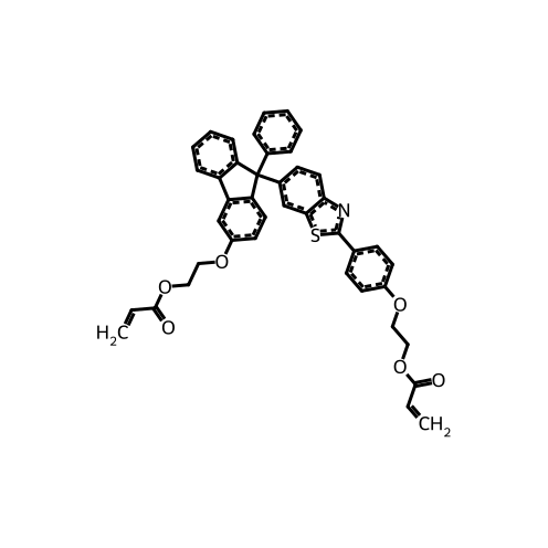 C=CC(=O)OCCOc1ccc(-c2nc3ccc(C4(c5ccccc5)c5ccccc5-c5cc(OCCOC(=O)C=C)ccc54)cc3s2)cc1